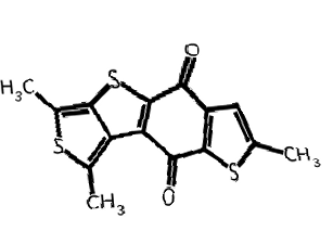 Cc1cc2c(s1)C(=O)c1c(sc3c(C)sc(C)c13)C2=O